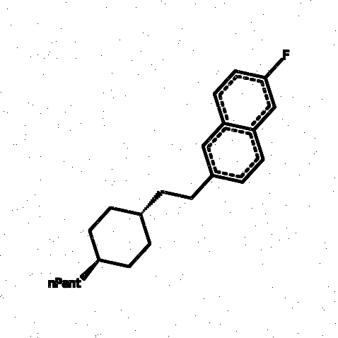 CCCCC[C@H]1CC[C@H](CCc2ccc3cc(F)ccc3c2)CC1